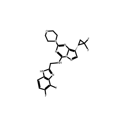 Fc1ccc2[nH]c(CNc3nc(N4CCOCC4)nc4c([C@@H]5CC5(F)F)cnn34)nc2c1F